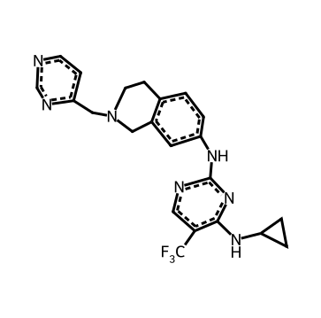 FC(F)(F)c1cnc(Nc2ccc3c(c2)CN(Cc2ccncn2)CC3)nc1NC1CC1